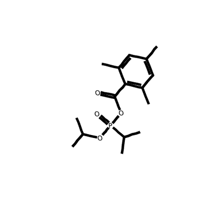 Cc1cc(C)c(C(=O)OP(=O)(OC(C)C)C(C)C)c(C)c1